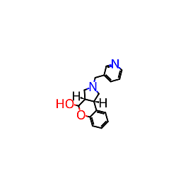 OC1Oc2ccccc2[C@H]2CN(Cc3cccnc3)C[C@@H]12